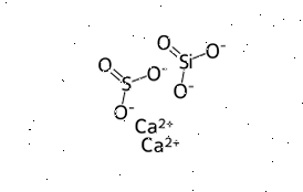 O=S([O-])[O-].O=[Si]([O-])[O-].[Ca+2].[Ca+2]